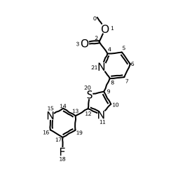 COC(=O)c1cccc(-c2cnc(-c3cncc(F)c3)s2)n1